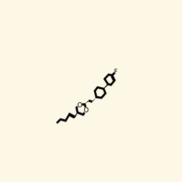 CCC/C=C/[C@H]1CO[C@H](CC[C@H]2CC[C@H](C3CC=C(F)CC3)CC2)OC1